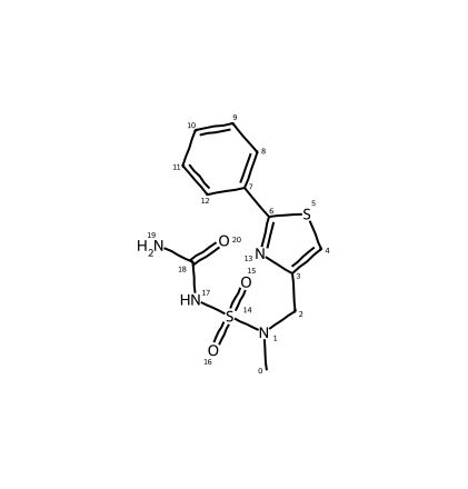 CN(Cc1csc(-c2ccccc2)n1)S(=O)(=O)NC(N)=O